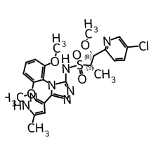 COc1cccc(OC)c1-n1c(NS(=O)(=O)[C@@H](C)[C@H](OC)c2ccc(Cl)cn2)nnc1-c1cc(C)[nH]n1